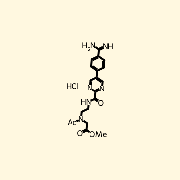 COC(=O)CN(CCNC(=O)c1ncc(-c2ccc(C(=N)N)cc2)cn1)C(C)=O.Cl